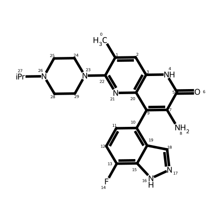 Cc1cc2[nH]c(=O)c(N)c(-c3ccc(F)c4[nH]ncc34)c2nc1N1CCN(C(C)C)CC1